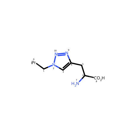 CC(C)Cn1cc(CC(N)C(=O)O)nn1